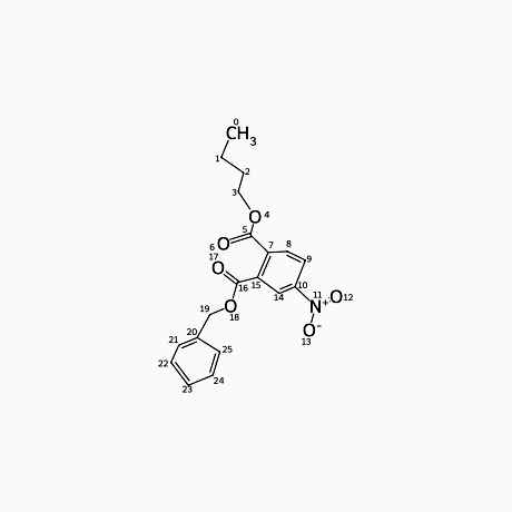 CCCCOC(=O)c1ccc([N+](=O)[O-])cc1C(=O)OCc1ccccc1